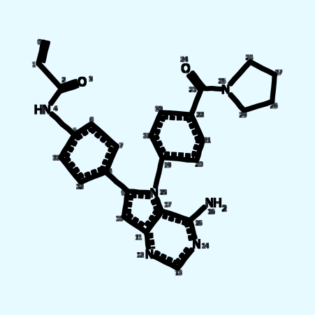 C=CC(=O)Nc1ccc(-c2cc3ncnc(N)c3n2-c2ccc(C(=O)N3CCCC3)cc2)cc1